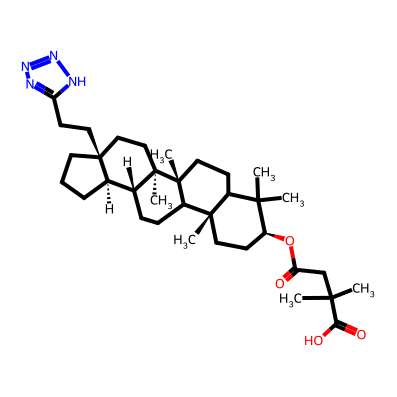 CC(C)(CC(=O)O[C@H]1CC[C@@]2(C)C(CC[C@]3(C)C2CC[C@@H]2[C@H]4CCC[C@]4(CCc4nnn[nH]4)CC[C@]23C)C1(C)C)C(=O)O